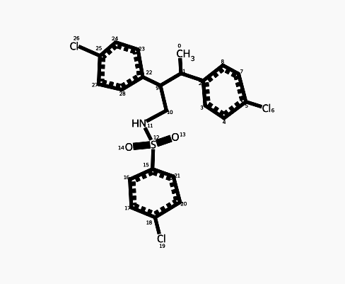 CC(c1ccc(Cl)cc1)C(CNS(=O)(=O)c1ccc(Cl)cc1)c1ccc(Cl)cc1